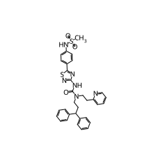 CS(=O)(=O)Nc1ccc(-c2nc(NC(=O)N(CCc3ccccn3)CCC(c3ccccc3)c3ccccc3)ns2)cc1